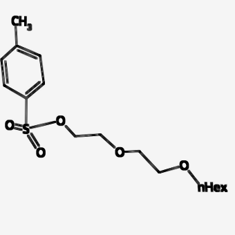 CCCCCCOCCOCCOS(=O)(=O)c1ccc(C)cc1